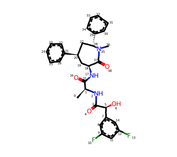 C[C@H](NC(=O)[C@@H](O)c1cc(F)cc(F)c1)C(=O)N[C@H]1C[C@@H](c2ccccc2)C[C@H](c2ccccc2)N(C)C1=O